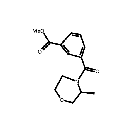 COC(=O)c1cccc(C(=O)N2CCOC[C@@H]2C)c1